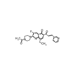 CCn1cc(C(=O)C=Cc2cccnc2)c(=O)c2cc(F)c(N3CCN(C(C)=O)CC3)nc21